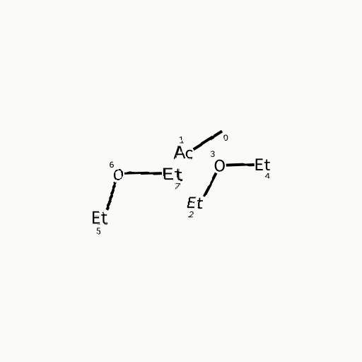 CC(C)=O.CCOCC.CCOCC